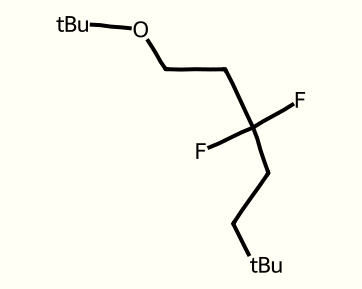 CC(C)(C)CCC(F)(F)CCOC(C)(C)C